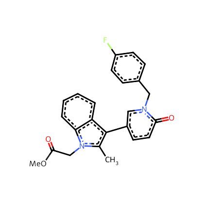 COC(=O)Cn1c(C)c(-c2ccc(=O)n(Cc3ccc(F)cc3)c2)c2ccccc21